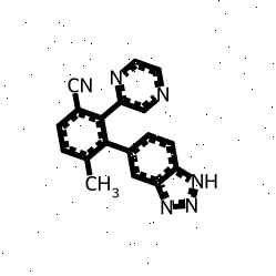 Cc1ccc(C#N)c(-c2cnccn2)c1-c1ccc2[nH]nnc2c1